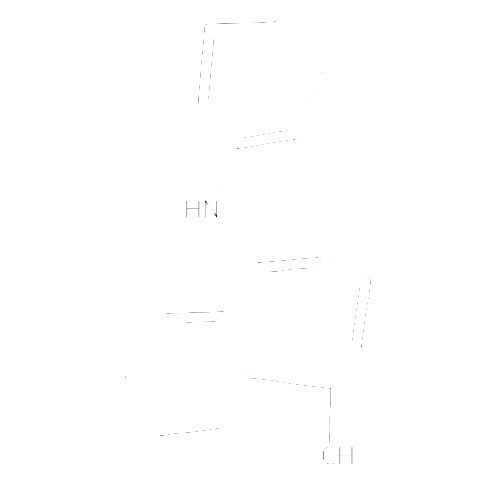 CC1=C=CC=C(Nc2ccccc2)c2ccccc21